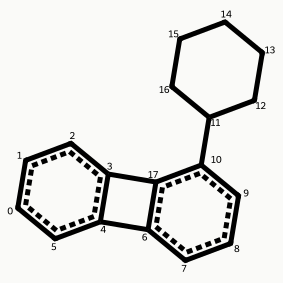 c1ccc2c(c1)-c1cccc(C3CCCCC3)c1-2